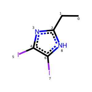 CCc1nc(I)c(I)[nH]1